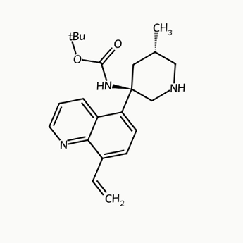 C=Cc1ccc([C@@]2(NC(=O)OC(C)(C)C)CNC[C@@H](C)C2)c2cccnc12